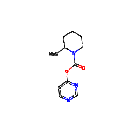 CSC1CCCCN1C(=O)Oc1ccncn1